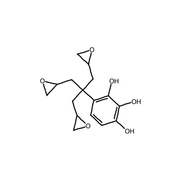 Oc1ccc(C(CC2CO2)(CC2CO2)CC2CO2)c(O)c1O